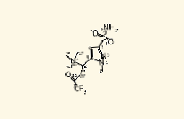 Cn1nc(S(N)(=O)=O)cc1C(OC(=O)C(F)(F)F)[N+](C)(C)C